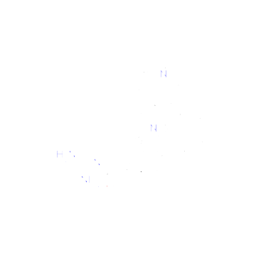 NC(N)=NC(=O)c1ccc2c3ccccc3n(Cc3ccncc3)c2c1